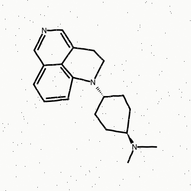 CN(C)[C@H]1CC[C@H](N2CCc3cncc4cccc2c34)CC1